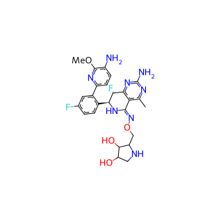 COc1nc(-c2cc(F)ccc2[C@@H]2N/C(=N\OCC3NCC(O)C3O)c3c(C)nc(N)nc3C2F)ccc1N